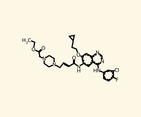 CCOC(=O)CN1CCN(C/C=C/C(=O)Nc2cc3c(Nc4ccc(F)c(Cl)c4)ncnc3cc2OCCC2CC2)CC1